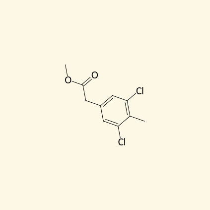 COC(=O)Cc1cc(Cl)c(C)c(Cl)c1